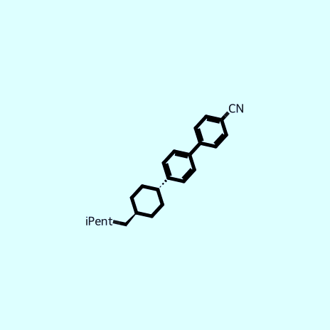 CCCC(C)C[C@H]1CC[C@H](c2ccc(-c3ccc(C#N)cc3)cc2)CC1